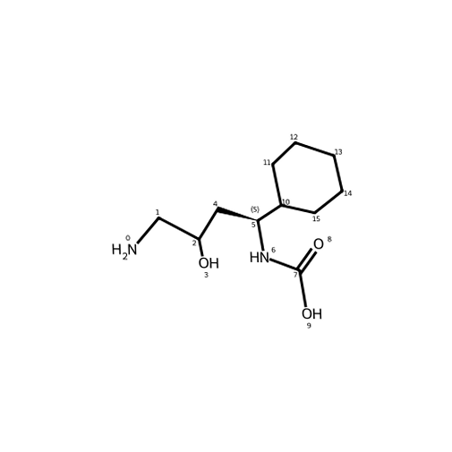 NCC(O)C[C@H](NC(=O)O)C1CCCCC1